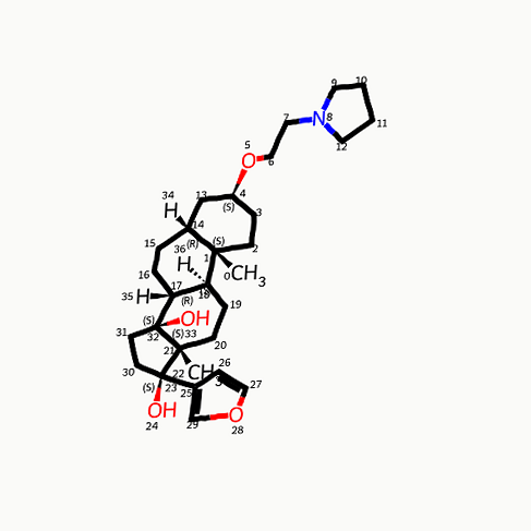 C[C@]12CC[C@H](OCCN3CCCC3)C[C@H]1CC[C@@H]1[C@@H]2CC[C@]2(C)[C@](O)(c3ccoc3)CC[C@]12O